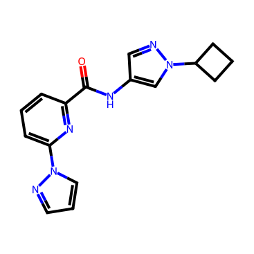 O=C(Nc1cnn(C2CCC2)c1)c1cccc(-n2cccn2)n1